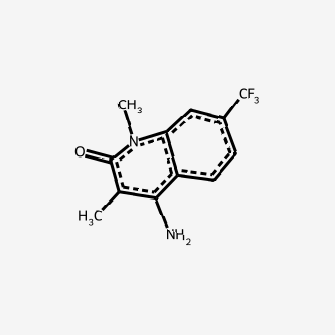 Cc1c(N)c2ccc(C(F)(F)F)cc2n(C)c1=O